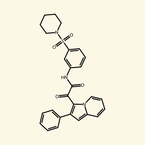 O=C(Nc1cccc(S(=O)(=O)N2CCCCC2)c1)C(=O)c1c(-c2ccccc2)cc2ccccn12